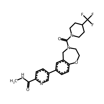 CNC(=O)c1ccc(-c2ccc3c(c2)CN(C(=O)N2CCC(C(F)(F)F)CC2)CCO3)cn1